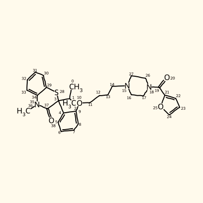 CC(C)C1(c2ccccc2OCCCCN2CCN(C(=O)c3ccco3)CC2)Sc2ccccc2N(C)C1=O